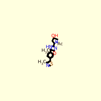 CC(=O)N1CC(O)CC1C1=NC(=O)C(C)(c2ccc(-c3scnc3C)cc2)N1